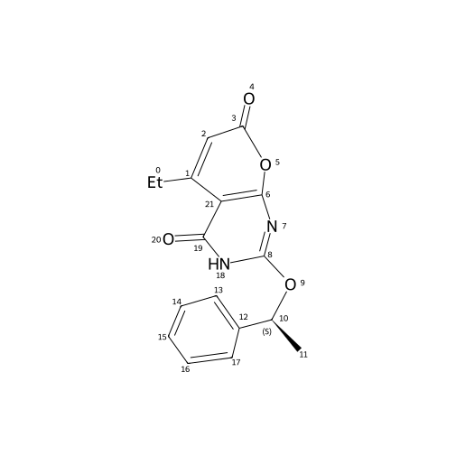 CCc1cc(=O)oc2nc(O[C@@H](C)c3ccccc3)[nH]c(=O)c12